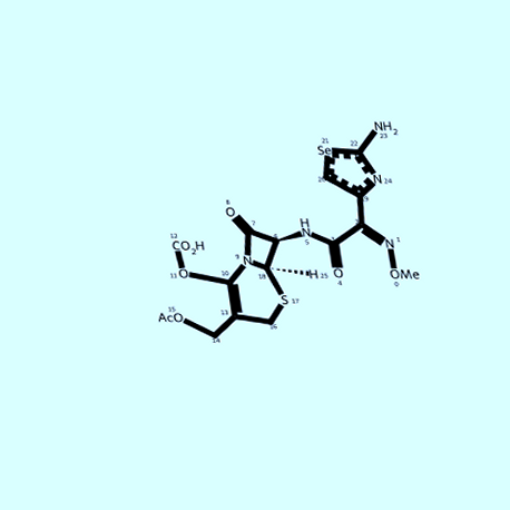 CO/N=C(\C(=O)N[C@@H]1C(=O)N2C(OC(=O)O)=C(COC(C)=O)CS[C@H]12)c1c[se]c(N)n1